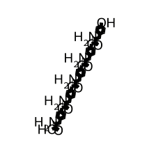 N[C@@H](Cc1ccc(OC(=O)[C@@H](N)Cc2ccc(OC(=O)[C@@H](N)Cc3ccc(OC(=O)[C@@H](N)Cc4ccc(OC(=O)[C@@H](N)Cc5ccc(O)cc5)cc4)cc3)cc2)cc1)C(=O)O